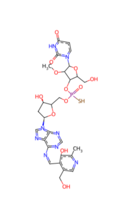 COC1C(OP(=O)(S)OCC2O[C@@H](n3cnc4c(/N=C\c5c(CO)cnc(C)c5O)ncnc43)C[C@H]2O)C(CO)OC1n1ccc(=O)[nH]c1=O